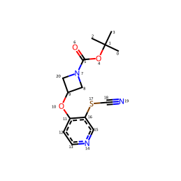 CC(C)(C)OC(=O)N1CC(Oc2ccncc2SC#N)C1